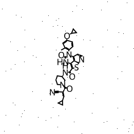 Cc1cc(OC2CC2)ccc1N1C(=O)Nc2c(C(=O)NC3CCCN(C(=O)C(C#N)=CC4CC4)C3)sc3nccc1c23